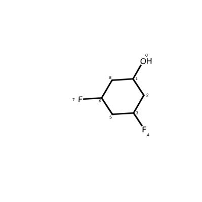 OC1CC(F)CC(F)C1